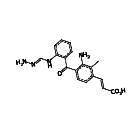 Cc1c(C=CC(=O)O)ccc(C(=O)c2ccccc2NC=NN)c1N